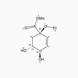 CCO[C@@]1(C(=O)OC)C=C[C@@H](O)[C@H](O)C1